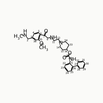 CNCc1ccc(C(=O)CNCCN2CCC(OC(=O)Nc3ccccc3-c3ccccc3)CC2)c(OC)c1